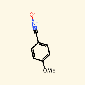 COc1ccc(C#[N+][O-])cc1